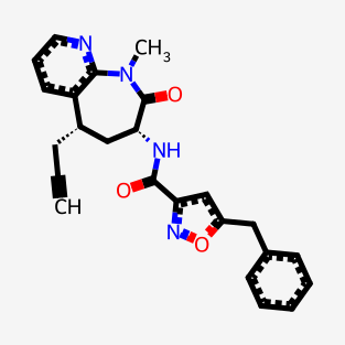 C#CC[C@H]1C[C@@H](NC(=O)c2cc(Cc3ccccc3)on2)C(=O)N(C)c2ncccc21